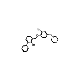 Brc1cc(CN2CCCCC2)ccc1OCc1cccc(-c2ccccc2)c1Br